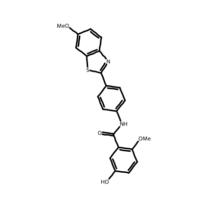 COc1ccc2nc(-c3ccc(NC(=O)c4cc(O)ccc4OC)cc3)sc2c1